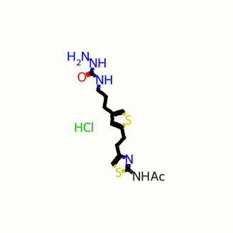 CC(=O)Nc1nc(CCc2cc(CCCNC(=O)NN)cs2)cs1.Cl